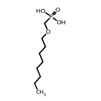 CCCCCCCCOCP(=O)(O)O